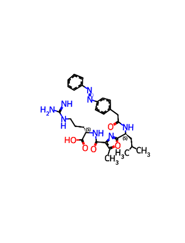 Cc1oc([C@H](CC(C)C)NC(=O)Cc2ccc(/N=N/c3ccccc3)cc2)nc1C(=O)N[C@@H](CCCNC(=N)N)C(=O)O